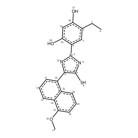 CCc1cc(-n2nc(S)c(-c3cccc4c(OC)cccc34)n2)c(O)cc1O